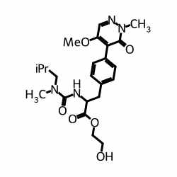 COc1cnn(C)c(=O)c1-c1ccc(CC(NC(=O)N(C)CC(C)C)C(=O)OCCO)cc1